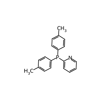 Cc1ccc(P(c2ccc(C)cc2)c2ccccn2)cc1